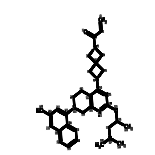 C=CC(=O)N1CC2(C1)CN(c1nc(OC(C)CN(C)C)nc3c1CCN(c1cc(O)cc4ccccc14)C3)C2